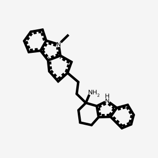 Cn1c2ccccc2c2ccc(CCC3(N)CCCc4c3[nH]c3ccccc43)cc21